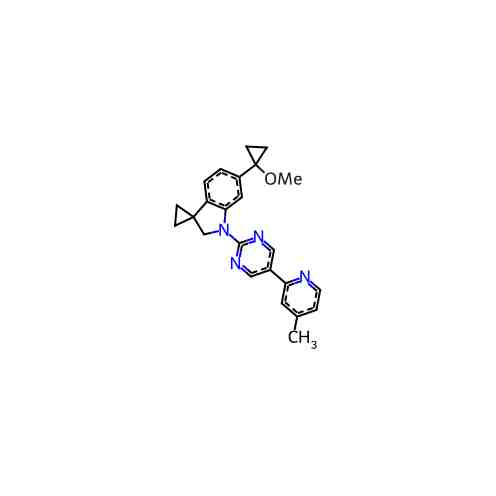 COC1(c2ccc3c(c2)N(c2ncc(-c4cc(C)ccn4)cn2)CC32CC2)CC1